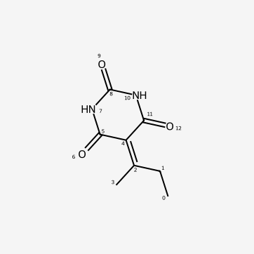 CCC(C)=C1C(=O)NC(=O)NC1=O